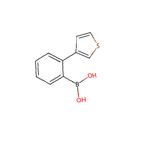 OB(O)c1ccccc1-c1ccsc1